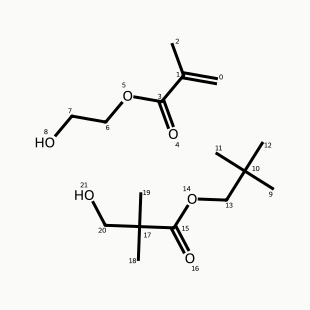 C=C(C)C(=O)OCCO.CC(C)(C)COC(=O)C(C)(C)CO